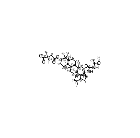 C=C(C)[C@@H]1CC[C@]2(NC(=O)NC(=O)OC)CC[C@]3(C)[C@H](CC[C@@H]4[C@@]5(C)CC[C@H](OC(=O)CC(C)(C)C(=O)O)C(C)(C)[C@@H]5CC[C@]43C)[C@@H]12